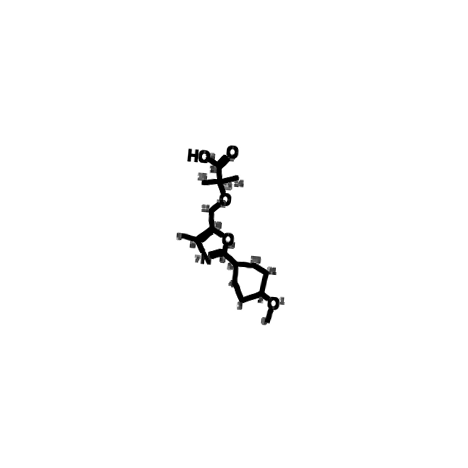 COC1CCC(c2nc(C)c(COC(C)(C)C(=O)O)o2)CC1